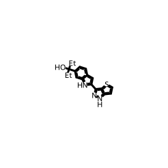 CCC(O)(CC)c1ccc2cc(-c3n[nH]c4ccsc34)[nH]c2c1